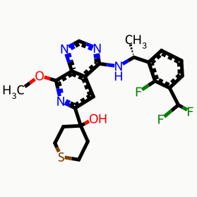 COc1nc(C2(O)CCSCC2)cc2c(N[C@H](C)c3cccc(C(F)F)c3F)ncnc12